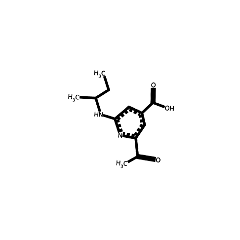 CCC(C)Nc1cc(C(=O)O)cc(C(C)=O)n1